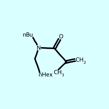 C=C(C)C(=O)N(CCCC)CCCCCCC